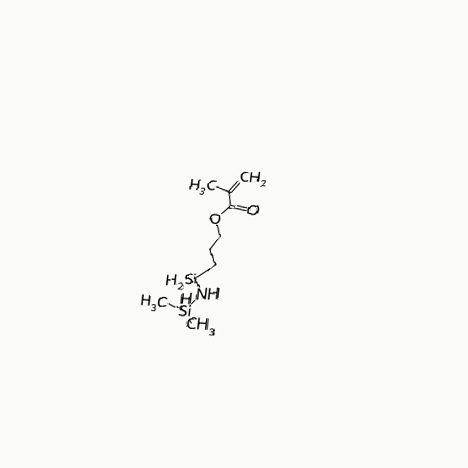 C=C(C)C(=O)OCCC[SiH2]N[SiH](C)C